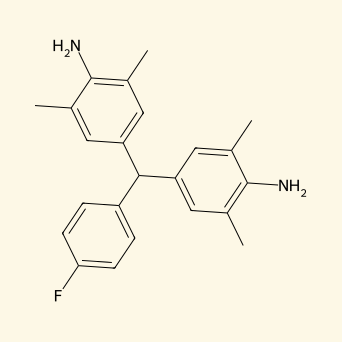 Cc1cc(C(c2ccc(F)cc2)c2cc(C)c(N)c(C)c2)cc(C)c1N